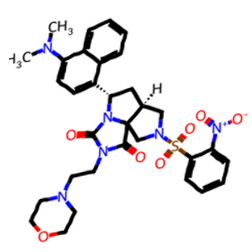 CN(C)c1ccc([C@@H]2C[C@H]3CN(S(=O)(=O)c4ccccc4[N+](=O)[O-])CC34C(=O)N(CCN3CCOCC3)C(=O)N24)c2ccccc12